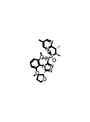 COc1cccc(OC)c1-n1c(NS(=O)(=O)[C@H](C)[C@@H](C)c2ncc(C)cn2)nnc1[C@H]1CCCO1